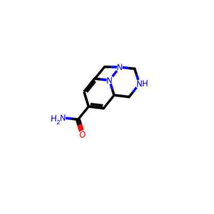 NC(=O)C1=CC2CNCN3CC1=CN23